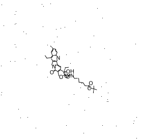 CCc1c2c(nc3ccc(C)cc13)-c1cc3c(c(=O)n1C2)COC(=O)[C@@]3(CC)OC(=O)NCCCCCC(=O)OC(C)(C)C